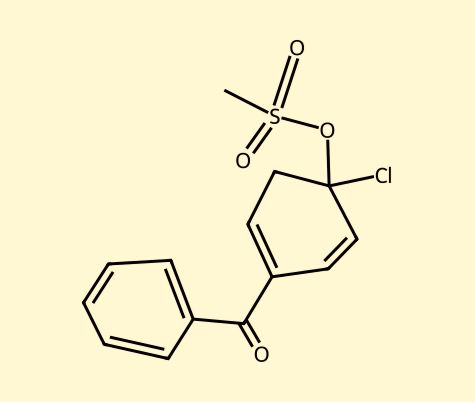 CS(=O)(=O)OC1(Cl)C=CC(C(=O)c2ccccc2)=CC1